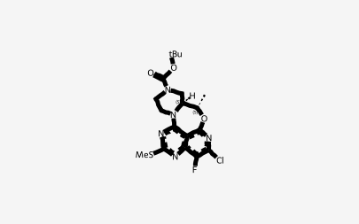 CSc1nc2c3c(nc(Cl)c(F)c3n1)O[C@@H](C)[C@@H]1CN(C(=O)OC(C)(C)C)CCN21